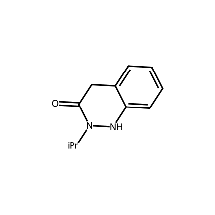 CC(C)N1Nc2ccccc2CC1=O